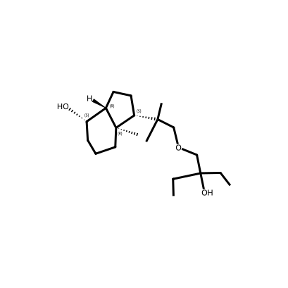 CCC(O)(CC)COCC(C)(C)[C@H]1CC[C@H]2[C@@H](O)CCC[C@]12C